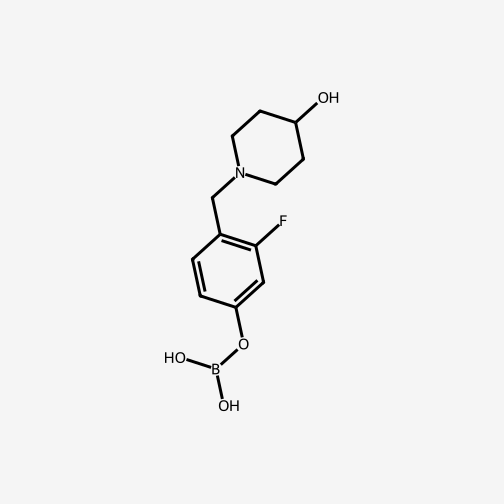 OB(O)Oc1ccc(CN2CCC(O)CC2)c(F)c1